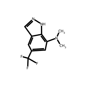 CN(C)c1cc(C(F)(F)F)cc2cn[nH]c12